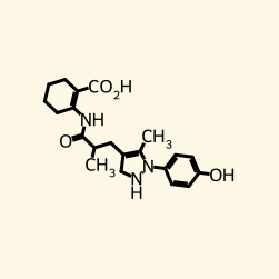 CC1=C(CC(C)C(=O)NC2=C(C(=O)O)CCCC2)CNN1c1ccc(O)cc1